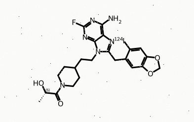 C[C@H](O)C(=O)N1CCC(CCn2c(Cc3cc4c(cc3[124I])OCO4)nc3c(N)nc(F)nc32)CC1